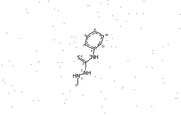 CNNC(=S)Nc1ccccc1